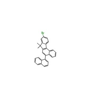 CC1(C)c2cc(Br)ccc2-c2c1cc(-c1cccc3ccccc13)c1ccccc21